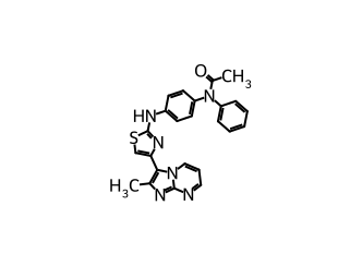 CC(=O)N(c1ccccc1)c1ccc(Nc2nc(-c3c(C)nc4ncccn34)cs2)cc1